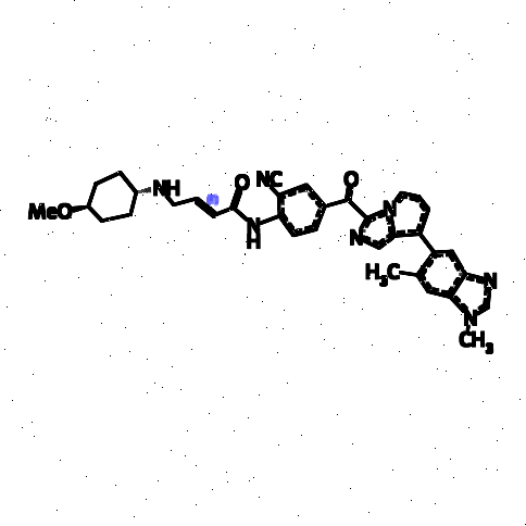 CO[C@H]1CC[C@H](NC/C=C/C(=O)Nc2ccc(C(=O)c3ncc4c(-c5cc6ncn(C)c6cc5C)cccn34)cc2C#N)CC1